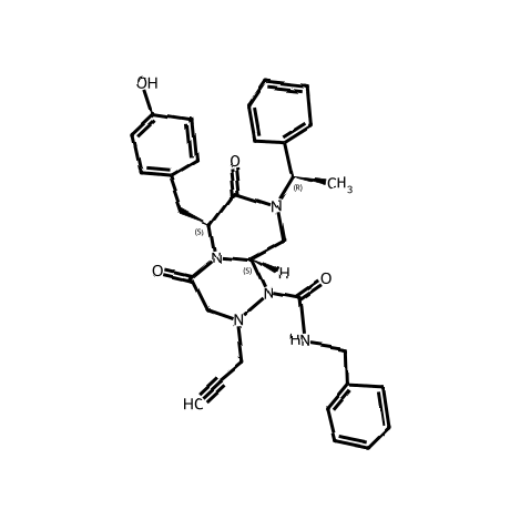 C#CCN1CC(=O)N2[C@@H](Cc3ccc(O)cc3)C(=O)N([C@H](C)c3ccccc3)C[C@@H]2N1C(=O)NCc1ccccc1